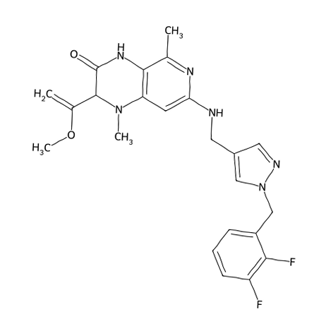 C=C(OC)C1C(=O)Nc2c(cc(NCc3cnn(Cc4cccc(F)c4F)c3)nc2C)N1C